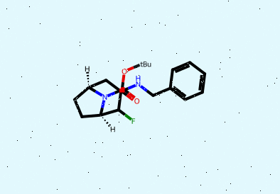 CC(C)(C)OC(=O)N1[C@H]2CC[C@@H]1C(F)C(NCc1ccccc1)C2